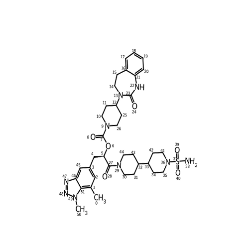 Cc1cc(C[C@@H](OC(=O)N2CCC(N3CCc4ccccc4NC3=O)CC2)C(=O)N2CCC(C3CCN(S(N)(=O)=O)CC3)CC2)cc2nnn(C)c12